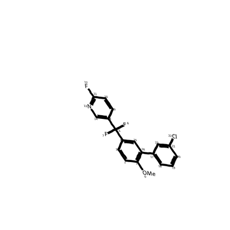 COc1ccc(C(F)(F)c2ccc(F)nc2)cc1-c1cccc(Cl)c1